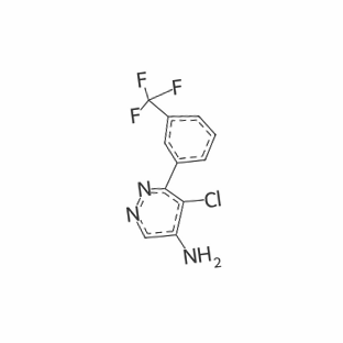 Nc1cnnc(-c2cccc(C(F)(F)F)c2)c1Cl